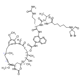 COc1cc2cc(c1Cl)N(C)C(=O)C[C@H](OC(=O)Nc1ccc(NC(=O)[C@H](CCCNC(N)=O)NC(=O)[C@@H](NC(=O)CCCCCNC(C=O)(CBr)CBr)C(C)C)c3ncccc13)[C@@H](C)[C@@H](O)[C@H](C)[C@@H]1C[C@@](O)(NC(=O)O1)[C@H](OC)/C=C/C=C(\C)C2